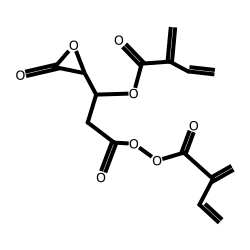 C=CC(=C)C(=O)OOC(=O)CC(OC(=O)C(=C)C=C)C1OC1=O